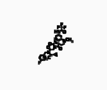 C[C@@H](C1CC1)N(Cc1ccc(F)cc1)C(=O)CN1C(=O)NC2(CCN(C)c3cc(NC(=O)C(F)(F)F)ccc32)C1=O